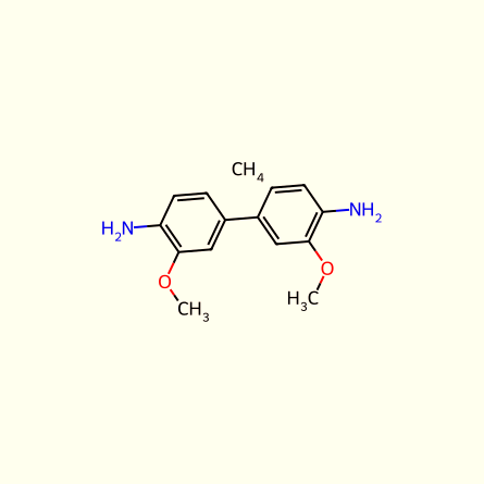 C.COc1cc(-c2ccc(N)c(OC)c2)ccc1N